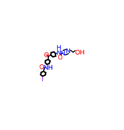 O=C(Nc1ccc(C(=O)c2ccc(NC(=O)N3CCN(CCCO)CC3)cc2)cc1)c1ccc(I)cc1